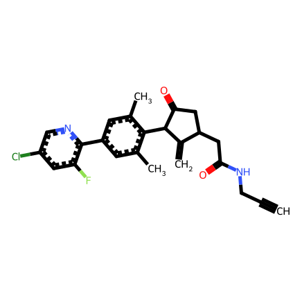 C#CCNC(=O)CC1CC(=O)C(c2c(C)cc(-c3ncc(Cl)cc3F)cc2C)C1=C